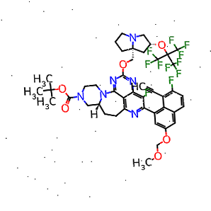 C#Cc1c(F)ccc2cc(OCOC)cc(-c3nc4c5c(nc(OC[C@]67CCCN6C[C@H](OC(C(F)(F)F)(C(F)(F)F)C(F)(F)F)C7)nc5c3F)N3CCN(C(=O)OC(C)(C)C)C[C@H]3CC4)c12